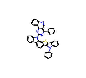 c1ccc(-c2nc(-n3c4ccccc4c4ccc5c(sc6c7ccccc7n(-c7ccccc7)c56)c43)nc3c2cnc2ccccc23)cc1